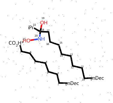 CCCCCCCCCCCCCCCCCC(=O)O.CCCCCCCCCCCCCCCCCCC(O)(NO)C(C)C